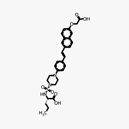 CCC[C@H](NS(=O)(=O)N1CCN(c2ccc(/C=C/c3ccc4cc(OCC(=O)O)ccc4c3)cc2)CC1)C(=O)O